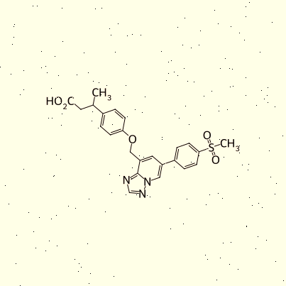 CC(CC(=O)O)c1ccc(OCc2cc(-c3ccc(S(C)(=O)=O)cc3)cn3ncnc23)cc1